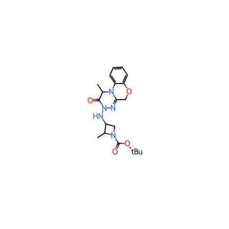 CC1C(NN2N=C3COc4ccccc4N3C(C)C2=O)CN1C(=O)OC(C)(C)C